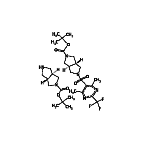 CC(C)(C)OC(=O)N1C[C@@H]2CNC[C@H]2C1.Cc1nc(C(F)(F)F)nc(C)c1S(=O)(=O)N1C[C@H]2CN(C(=O)OC(C)(C)C)C[C@@H]2C1